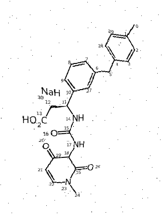 Cc1ccc(Cc2cccc([C@H](CC(=O)O)NC(=O)NC3C(=O)C=CN(C)C3=O)c2)cc1.[NaH]